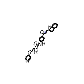 O=C(NCCOc1ccncc1)Nc1ccc(C(=O)/C=C/c2ccc3ccccc3n2)cc1